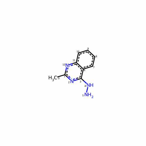 Cc1nc(NN)c2ccccc2n1